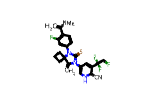 C=C(NC)c1ccc(N2C(=S)N(C3=CNC(C#N)C(C(F)(F)CF)=C3)C(=C)C23CCC3)cc1F